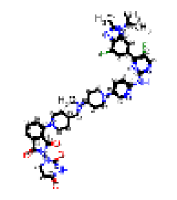 Cc1nc2c(F)cc(-c3nc(Nc4ccc(N5CCC(N(C)CC6CCN(c7cccc8c7C(=O)N(N7CCC(=O)NC7=O)C8=O)CC6)CC5)cn4)ncc3F)cc2n1C(C)C